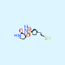 O=C1NCCCC[C@@H]1NS(=O)(=O)c1ccc(CCCS)cc1